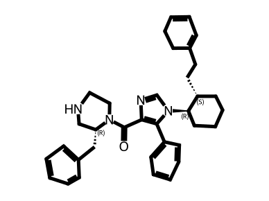 O=C(c1ncn([C@@H]2CCCC[C@H]2CCC2=CC=CCC2)c1-c1ccccc1)N1CCNC[C@H]1Cc1ccccc1